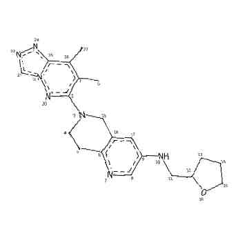 Cc1c(N2CCc3ncc(NCC4CCCO4)cc3C2)nn2cnnc2c1C